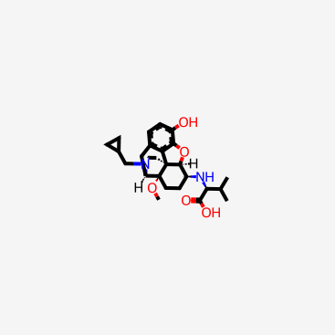 CO[C@@]12CC[C@H](N[C@H](C(=O)O)C(C)C)[C@@H]3Oc4c(O)ccc5c4[C@@]31CCN(CC1CC1)[C@@H]2C5